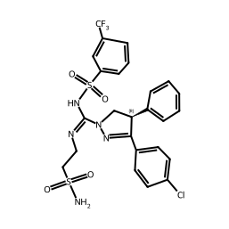 NS(=O)(=O)CCN=C(NS(=O)(=O)c1cccc(C(F)(F)F)c1)N1C[C@@H](c2ccccc2)C(c2ccc(Cl)cc2)=N1